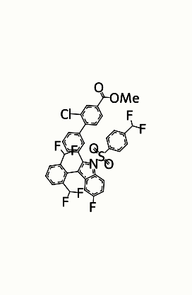 COC(=O)c1ccc(-c2cccc(-c3c(-c4c(C(F)F)cccc4C(F)F)c4cc(F)ccc4n3S(=O)(=O)c3ccc(C(F)F)cc3)c2)c(Cl)c1